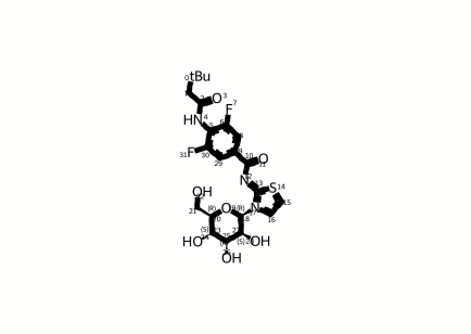 CC(C)(C)CC(=O)Nc1c(F)cc(C(=O)N=c2sccn2[C@@H]2O[C@H](CO)[C@@H](O)[C@@H](O)[C@@H]2O)cc1F